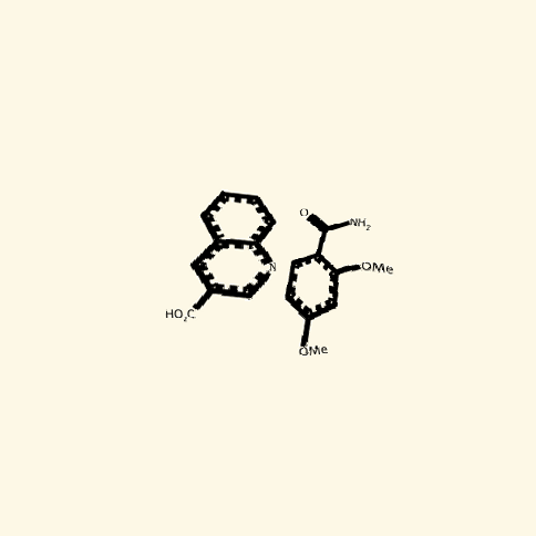 COc1ccc(C(N)=O)c(OC)c1.O=C(O)c1cnc2ccccc2c1